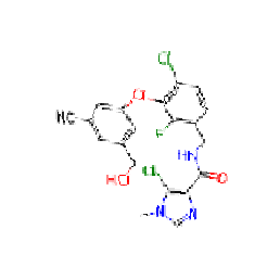 Cn1cnc(C(=O)NCc2ccc(Cl)c(Oc3cc(C#N)cc(CO)c3)c2F)c1Cl